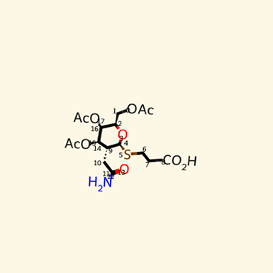 CC(=O)OC[C@H]1O[C@@H](SCCC(=O)O)[C@H](CC(N)=O)[C@@H](OC(C)=O)[C@H]1OC(C)=O